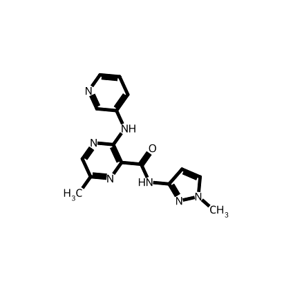 Cc1cnc(Nc2cccnc2)c(C(=O)Nc2ccn(C)n2)n1